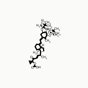 C=C1/C(=C\C=C2/CCC[C@]3(C)[C@@H]([C@H](C)/C=C/C(=O)C4(OC(=O)O)CC4)CC[C@@H]23)C[C@@H](O[Si](C)(C)C(C)(C)C)C[C@@H]1O[Si](C)(C)C(C)(C)C